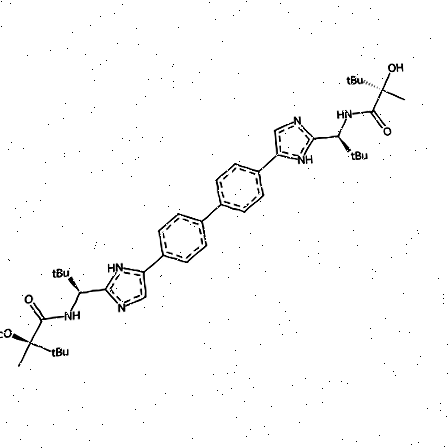 CC(=O)O[C@@](C)(C(=O)N[C@H](c1ncc(-c2ccc(-c3ccc(-c4cnc([C@@H](NC(=O)[C@](C)(O)C(C)(C)C)C(C)(C)C)[nH]4)cc3)cc2)[nH]1)C(C)(C)C)C(C)(C)C